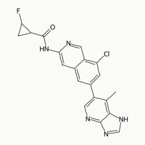 Cc1c(-c2cc(Cl)c3cnc(NC(=O)C4CC4F)cc3c2)cnc2nc[nH]c12